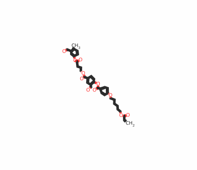 C=CC(=O)OCCCCCCOc1ccc(C(=O)Oc2ccc(C(=O)OCCCC(=O)Oc3ccc(C)c(C=O)c3)cc2C=O)cc1